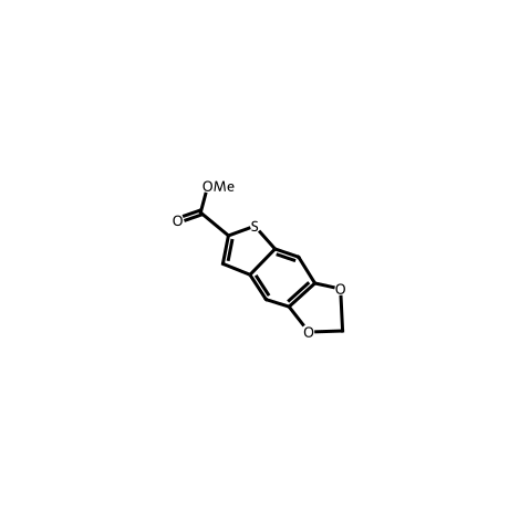 COC(=O)c1cc2cc3c(cc2s1)OCO3